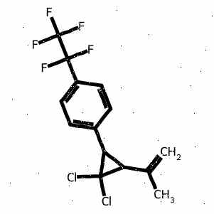 C=C(C)C1C(c2ccc(C(F)(F)C(F)(F)F)cc2)C1(Cl)Cl